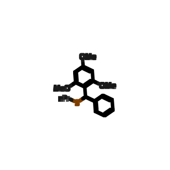 CCCSC(c1ccccc1)c1c(OC)cc(OC)cc1OC